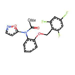 COC(=O)N(c1ccno1)c1ccccc1OCc1c(F)cc(F)cc1F